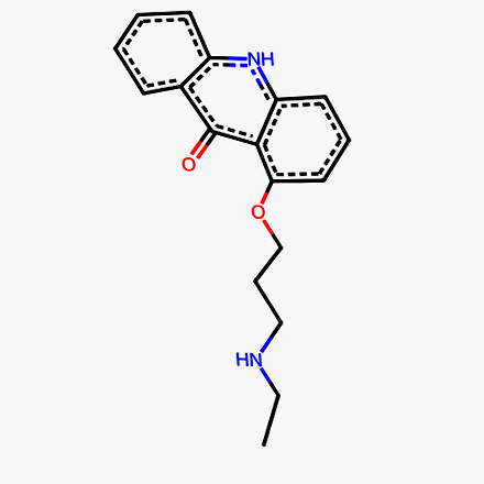 CCNCCCOc1cccc2[nH]c3ccccc3c(=O)c12